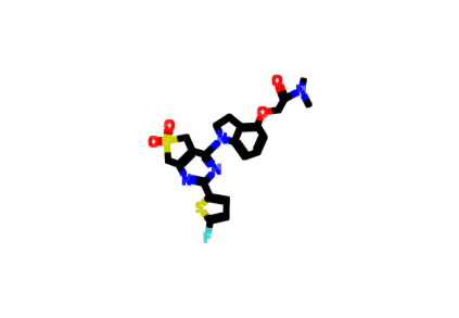 CN(C)C(=O)COc1cccc2c1CCN2c1nc(-c2ccc(F)s2)nc2c1CS(=O)(=O)C2